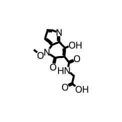 COn1c(=O)c(C(=O)NCC(=O)O)c(O)c2ncccc21